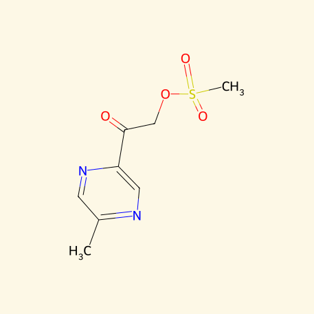 Cc1cnc(C(=O)COS(C)(=O)=O)cn1